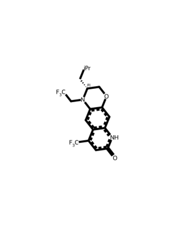 CC(C)C[C@@H]1COc2cc3[nH]c(=O)cc(C(F)(F)F)c3cc2N1CC(F)(F)F